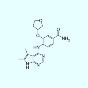 Cc1[nH]c2ncnc(Nc3ccc(C(N)=O)cc3OC3CCOC3)c2c1C